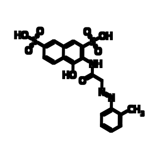 Cc1ccccc1N=NCC(=O)Nc1c(S(=O)(=O)O)cc2cc(S(=O)(=O)O)ccc2c1O